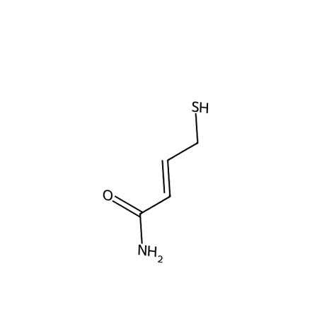 NC(=O)C=CCS